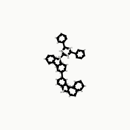 c1ccc(-c2nc(-c3ccccc3)nc(-n3c4ccccc4c4cc(-c5ccc6sc7ccc8ccccc8c7c6c5)ccc43)n2)cc1